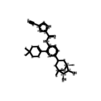 CC1(C)CC=C(c2nc(C3CC4(C)O[C@@](C)(C3)C(O)[C@@H]4O)ccc2NC(=O)c2nc(C#N)c[nH]2)CC1